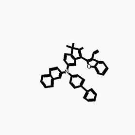 C=Cc1c(C2=C(C)C(C)(C)c3ccc(N(c4ccc(-c5ccccc5)cc4)c4ccc5ccccc5c4)cc32)oc2ccccc12